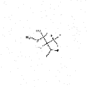 COC(O)(F)C(O)(C(F)F)C(F)(F)F